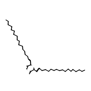 CCCCCCCCCCCCCCCC/C=C/C(OC(/C=C/CCCCCCCCCCCCCCCC)C1CO1)C1CO1